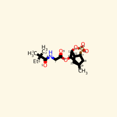 CCC(C)(C)C(=O)NCC(=O)OC1C2OS(=O)(=O)C3CC1(C)CC23